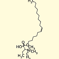 CCCCCCCCC/C=C\CCCCCOP(=O)(O)C(CC)[N+](C)(C)C